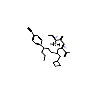 C#Cc1ccc(C(CCC)CCC(C/C(=C\C(=C)/C(=C/C)NC)C(=C)C)CC2CCC2)cc1